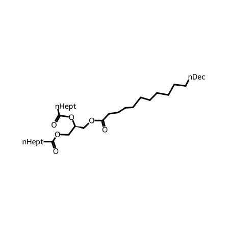 CCCCCCCCCCCCCCCCCCCCC(=O)OC[C@@H](COC(=O)CCCCCCC)OC(=O)CCCCCCC